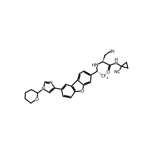 CC(C)C[C@H](N[C@@H](c1ccc2c(c1)oc1ccc(-c3cn(C4CCCCO4)cn3)cc12)C(F)(F)F)C(=O)NC1(C#N)CC1